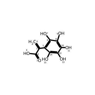 C=C(C(=O)O)c1c(O)c(O)c(O)c(O)c1O